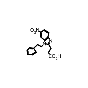 O=C(O)CCc1nc2ccc([N+](=O)[O-])cc2n1CCc1ccccc1